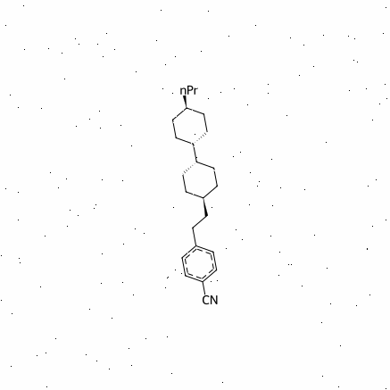 CCC[C@H]1CC[C@H]([C@H]2CC[C@H](CCc3ccc(C#N)cc3)CC2)CC1